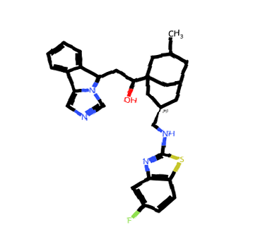 CC1CC2C[C@@H](CNc3nc4cc(F)ccc4s3)CC(C(O)CC3c4ccccc4-c4cncn43)(C1)C2